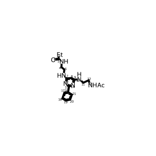 CCC(=O)NCCNc1cc(NCCNC(C)=O)nc(-c2ccccc2)n1